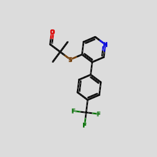 CC(C)(C=O)Sc1ccncc1-c1ccc(C(F)(F)F)cc1